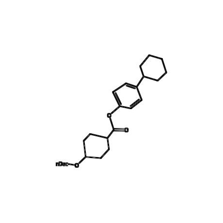 CCCCCCCCCCOC1CCC(C(=O)Oc2ccc(C3CCCCC3)cc2)CC1